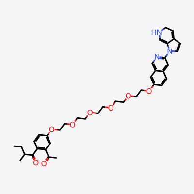 CCC(C)C(=O)c1ccc(OCCOCCOCCOCCOCCOc2ccc3cc(-n4ccc5c4=CNCC=5)ncc3c2)cc1C(C)=O